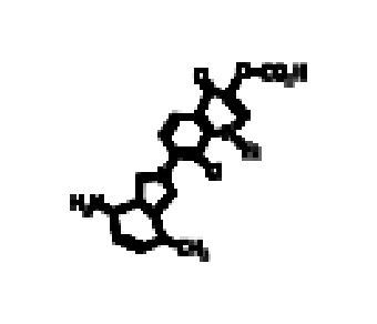 CCn1cc(OC(=O)O)c(=O)c2ccc(N3CC4C(C)C=CC(N)C4C3)c(Cl)c21